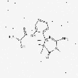 CN1C(=O)C(C)(C)[C@](C)(c2ccccc2NC(=O)C(O)C(F)(F)F)N=C1N